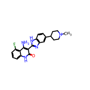 CN1CCC(c2ccc3[nH]c(-c4c(N)c5c(F)cccc5[nH]c4=O)nc3c2)CC1